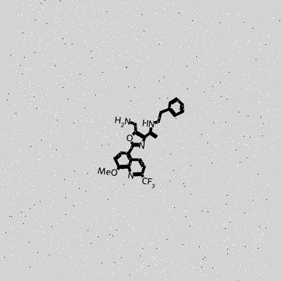 C=C(NCCc1ccccc1)c1nc(-c2ccc(OC)c3nc(C(F)(F)F)ccc23)oc1CN